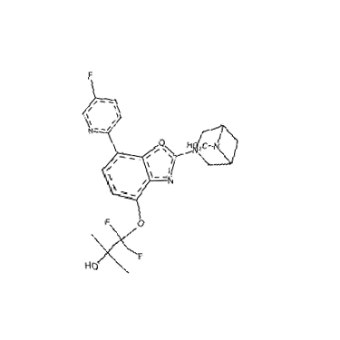 CC(C)(O)C(F)(F)Oc1ccc(-c2ccc(F)cn2)c2oc(N3CC4CC(C3)N4C(=O)O)nc12